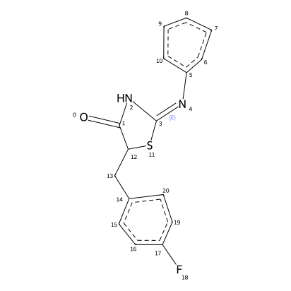 O=C1N/C(=N\c2ccccc2)SC1Cc1ccc(F)cc1